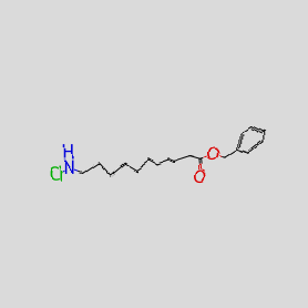 O=C(CCCCCCCCCCNCl)OCc1ccccc1